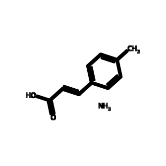 Cc1ccc(/C=C/C(=O)O)cc1.N